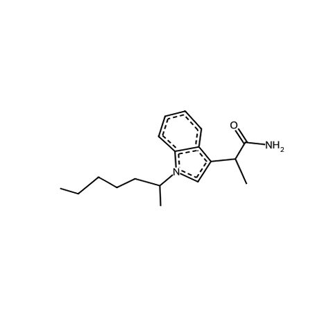 CCCCCC(C)n1cc(C(C)C(N)=O)c2ccccc21